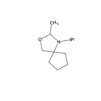 CC(C)N1C(C)OCC12CCCC2